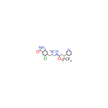 CN(C)C(CNC(=O)CC(c1cccnc1)C1(C(F)(F)F)CC1)Cc1ccc(C(N)=O)cc1Cl